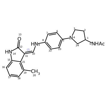 CC(=O)NC1CCN(c2ccc(N/C=C3\C(=O)Nc4cccc(C)c43)cc2)C1